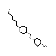 CCC[C@H]1CC[C@H](CC[C@H]2CC[C@H](C=CCCCF)CC2)CC1